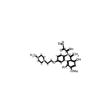 C=C(c1cc(C(C)C)c(OC)cc1O)N(C(=N)C(=O)NCC)c1ccc(OCCN2CCN(C)CC2)cc1